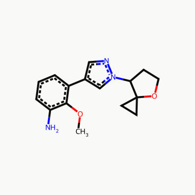 COc1c(N)cccc1-c1cnn(C2CCOC23CC3)c1